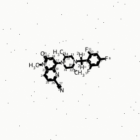 [2H]C([2H])(c1c(F)cc(F)cc1F)N1C[C@H](C)N(c2cc(=O)n(C)c3ccc(C#N)nc23)C[C@H]1C